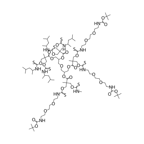 CNC(=S)OCC(C)(COC(=S)NCCOCCOCCNC(=O)OC(C)(C)C)C(=O)OC(COCC(COC(=O)C(C)(COC(=S)NC(C)CC(C)C)COC(=S)NC(C)CC(C)C)OC(=O)C(C)(COC(=S)NC(C)CC(C)C)COC(=S)NC(C)CC(C)C)COC(=O)C(C)(COC(=S)NCCOCCOCCNC(=O)OC(C)(C)C)COC(=S)NCCOCCOCCNC(=O)OC(C)(C)C